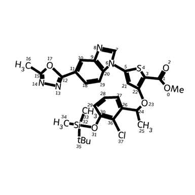 COC(=O)c1sc(-n2cnc3cc(-c4nnc(C)o4)ccc32)cc1OC(C)c1cccc(O[Si](C)(C)C(C)(C)C)c1Cl